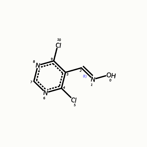 O/N=C/c1c(Cl)ncnc1Cl